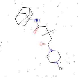 CCN1CCN(C(=O)CC(C)(C)CC(=O)NC23CC4CC(CC(C4)C2)C3)CC1